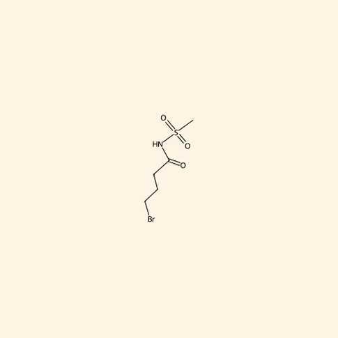 CS(=O)(=O)NC(=O)CCCBr